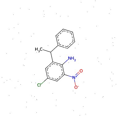 CC(c1ccccc1)c1cc(Cl)cc([N+](=O)[O-])c1N